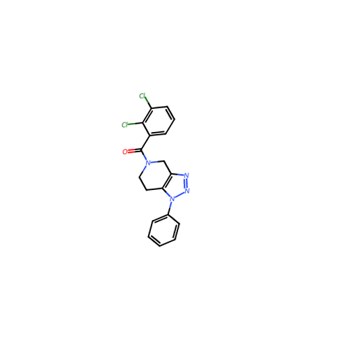 O=C(c1cccc(Cl)c1Cl)N1CCc2c(nnn2-c2ccccc2)C1